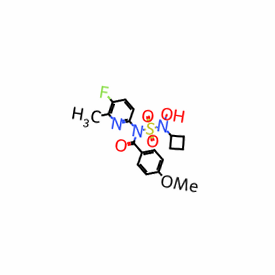 COc1ccc(C(=O)N(c2ccc(F)c(C)n2)S(=O)(=O)N(O)C2CCC2)cc1